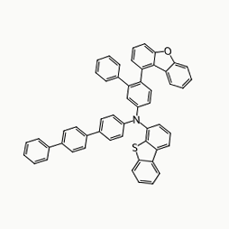 c1ccc(-c2ccc(-c3ccc(N(c4ccc(-c5cccc6oc7ccccc7c56)c(-c5ccccc5)c4)c4cccc5c4sc4ccccc45)cc3)cc2)cc1